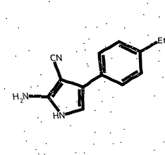 CCc1ccc(-c2c[nH]c(N)c2C#N)cc1